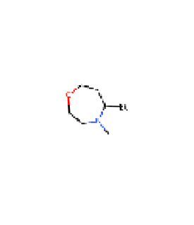 CCC1CCOCCN1C